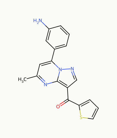 Cc1cc(-c2cccc(N)c2)n2ncc(C(=O)c3cccs3)c2n1